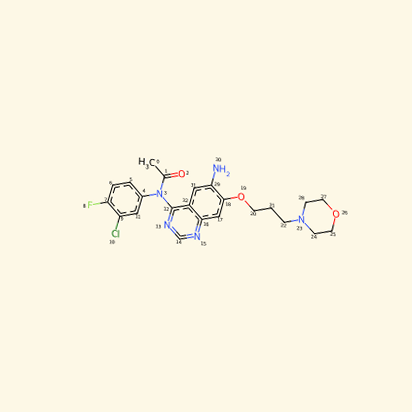 CC(=O)N(c1ccc(F)c(Cl)c1)c1ncnc2cc(OCCCN3CCOCC3)c(N)cc12